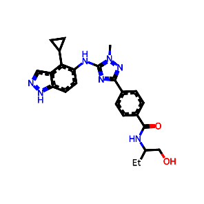 CCC(CO)NC(=O)c1ccc(-c2nc(Nc3ccc4[nH]ncc4c3C3CC3)n(C)n2)cc1